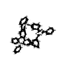 c1ccc(-c2nc(-c3ccccc3)nc(-c3cccc(-n4c5ccccc5c5cc6c(cc54)-c4ccccc4N(c4ccccc4)c4ccccc4-6)c3)n2)cc1